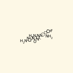 Cc1nc(C(=O)N2CCc3nc(N)ccc32)c(N)nc1N1CCC2(CC1)Cc1ccc(F)cc1C2N